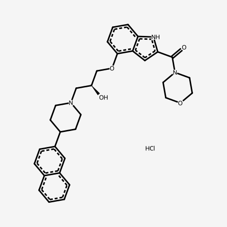 Cl.O=C(c1cc2c(OC[C@@H](O)CN3CCC(c4ccc5ccccc5c4)CC3)cccc2[nH]1)N1CCOCC1